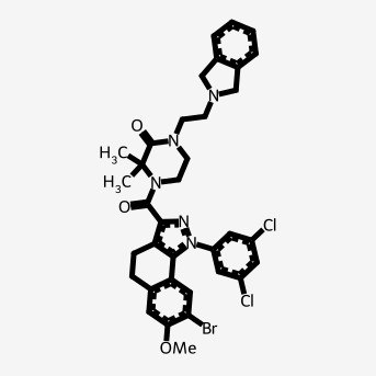 COc1cc2c(cc1Br)-c1c(c(C(=O)N3CCN(CCN4Cc5ccccc5C4)C(=O)C3(C)C)nn1-c1cc(Cl)cc(Cl)c1)CC2